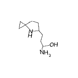 NC(O)CCC1CCC2(CC2)N1